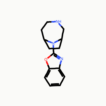 c1ccc2oc(N3C4CCNCC3CC4)nc2c1